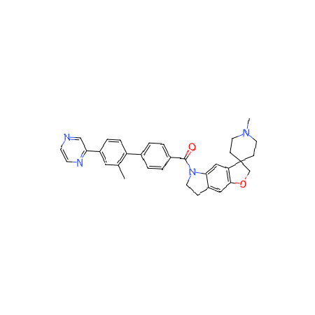 Cc1cc(-c2cnccn2)ccc1-c1ccc(C(=O)N2CCc3cc4c(cc32)C2(CCN(C)CC2)CO4)cc1